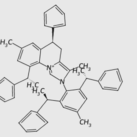 Cc1cc([C@H](C)c2ccccc2)c(-n2c[n+]3c(c2C)C[C@H](c2ccccc2)c2cc(C)cc([C@H](C)c4ccccc4)c2-3)c([C@H](C)c2ccccc2)c1